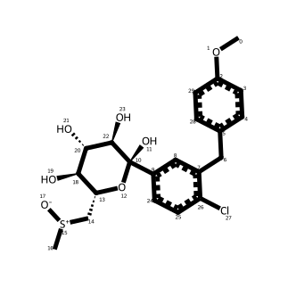 COc1ccc(Cc2cc([C@]3(O)O[C@H](C[S+](C)[O-])[C@@H](O)[C@H](O)[C@H]3O)ccc2Cl)cc1